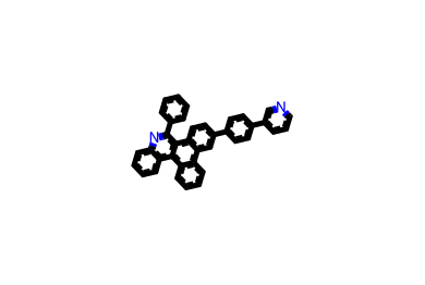 c1ccc(-c2nc3ccccc3c3c4ccccc4c4cc(-c5ccc(-c6cccnc6)cc5)ccc4c23)cc1